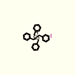 [I].c1ccc([CH2][SbH]([CH2]c2ccccc2)([CH2]c2ccccc2)[CH2]c2ccccc2)cc1